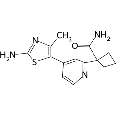 Cc1nc(N)sc1-c1ccnc(C2(C(N)=O)CCC2)c1